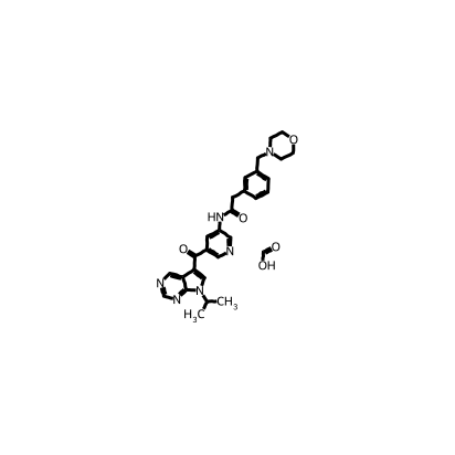 CC(C)n1cc(C(=O)c2cncc(NC(=O)Cc3cccc(CN4CCOCC4)c3)c2)c2cncnc21.O=CO